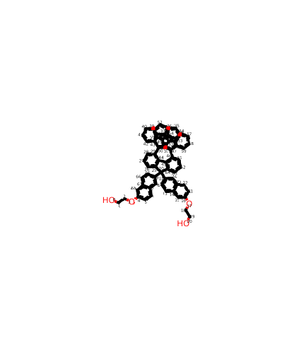 OCCOc1ccc2cc(C3(c4ccc5cc(OCCO)ccc5c4)c4cccc(-c5cc6ccccc6c6ccccc56)c4-c4c(-c5cc6ccccc6c6ccccc56)cccc43)ccc2c1